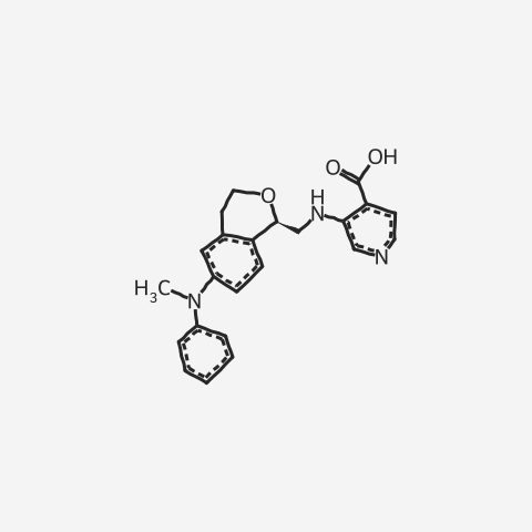 CN(c1ccccc1)c1ccc2c(c1)CCO[C@H]2CNc1cnccc1C(=O)O